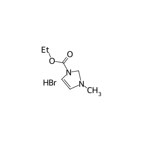 Br.CCOC(=O)N1C=CN(C)C1